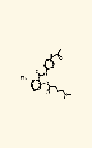 CC(=O)Nc1ccc(OC(=O)c2ccccc2OC(=O)CCCN(C)C)cc1.Cl